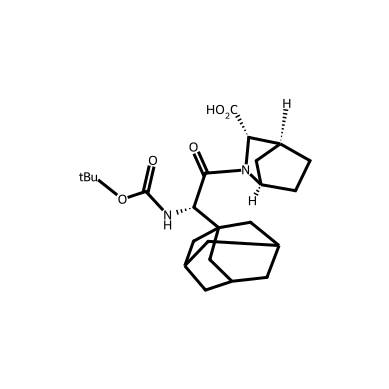 CC(C)(C)OC(=O)N[C@H](C(=O)N1[C@@H]2CC[C@@H](C2)[C@H]1C(=O)O)C12CC3CC(CC(C3)C1)C2